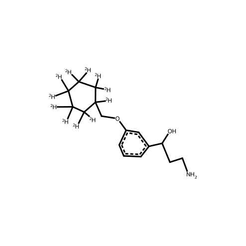 [2H]C1([2H])C([2H])([2H])C([2H])([2H])C([2H])(COc2cccc(C(O)CCN)c2)C([2H])([2H])C1([2H])[2H]